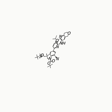 CC(C)Oc1nc2c(cc1Nc1nccc(-c3cc(C#N)c4c(c3)[C@@](C)(CO[Si](C)(C)C(C)(C)C)CN4C(=O)OC(C)(C)C)n1)COCC2